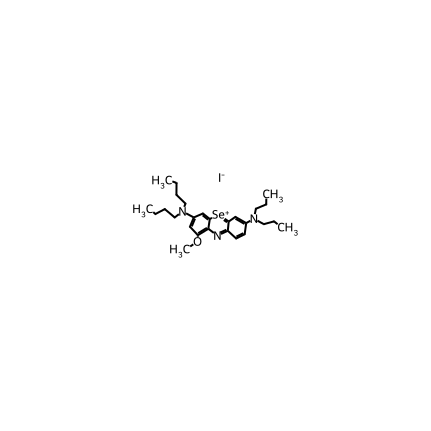 CCCCN(CCCC)c1cc(OC)c2nc3ccc(N(CCC)CCC)cc3[se+]c2c1.[I-]